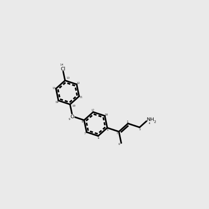 CC(=CCN)c1ccc(Oc2ccc(Cl)cc2)cc1